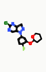 Fc1ccc(-n2ncc3nc(Cl)ncc32)cc1OC1CCCCO1